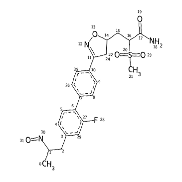 CC(Cc1ccc(-c2ccc(C3=NOC(CC(C(N)=O)S(C)(=O)=O)C3)cc2)c(F)c1)N=O